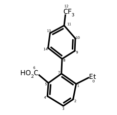 CCc1cccc(C(=O)O)c1-c1ccc(C(F)(F)F)cc1